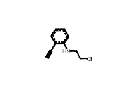 C#Cc1ccccc1NCCCl